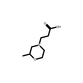 O=C(O)CCN1CCOC(I)C1